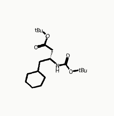 CC(C)(C)OC(=O)C[C@@H](CC1CCCCC1)NC(=O)OC(C)(C)C